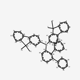 CC1(C)c2ccccc2-c2ccc(N(c3ccc4c(c3)C(C)(C)c3ccccc3-4)c3cccc(-c4ccccc4)c3-c3ccccc3)cc21